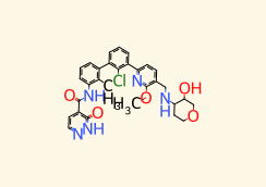 COc1nc(-c2cccc(-c3cccc(NC(=O)c4ccn[nH]c4=O)c3C)c2Cl)ccc1CNC1CCOCC1O